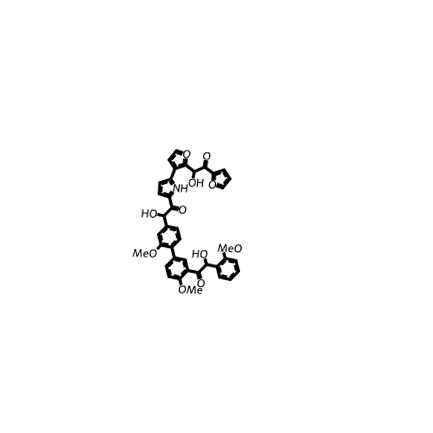 COc1ccc(-c2ccc(C(O)C(=O)c3ccc(-c4ccoc4C(O)C(=O)c4ccco4)[nH]3)cc2OC)cc1C(=O)C(O)c1ccccc1OC